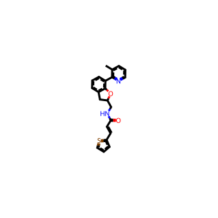 Cc1cccnc1-c1cccc2c1OC(CNC(=O)/C=C/c1cccs1)C2